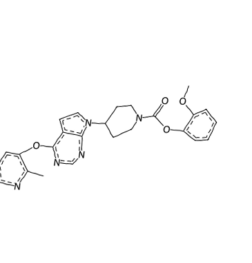 COc1ccccc1OC(=O)N1CCC(n2ccc3c(Oc4cccnc4C)ncnc32)CC1